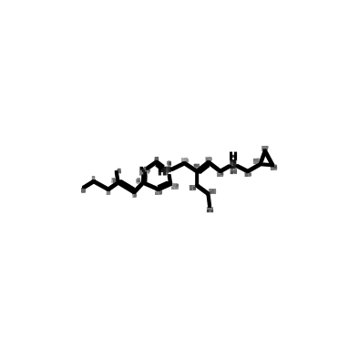 CCC/C(C)=C/C1=NC=[PH](C/C(=C/CBCC2CC2)CCC)C=C1